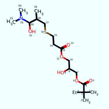 CCC(C)(C)C(=O)OCC(O)COC(=O)CCSCC(C)C(O)N(C)C